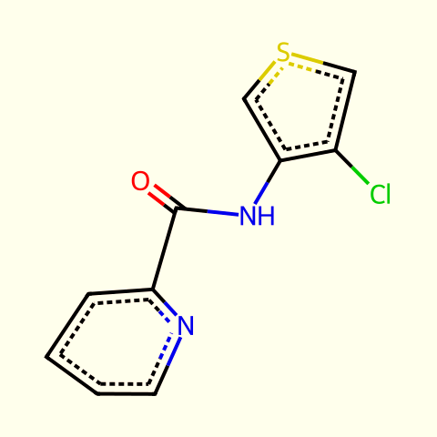 O=C(Nc1cscc1Cl)c1ccccn1